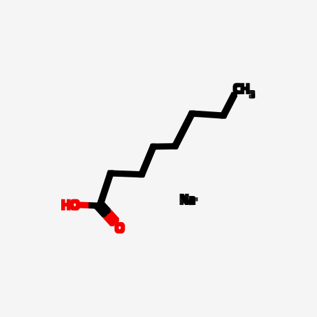 CCCCCCCC(=O)O.[Na]